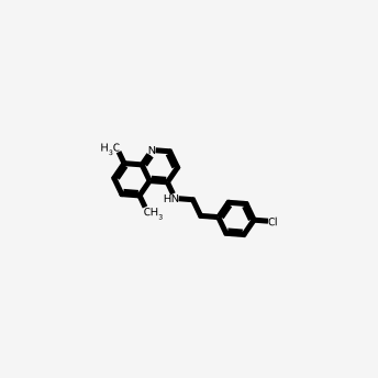 Cc1ccc(C)c2c(NCCc3ccc(Cl)cc3)ccnc12